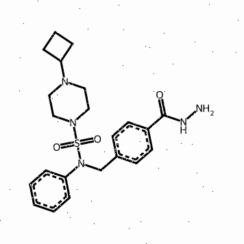 NNC(=O)c1ccc(CN(c2ccccc2)S(=O)(=O)N2CCN(C3CCC3)CC2)cc1